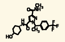 CNC(=O)c1cc(C(=O)N[C@H]2CC[C@H](O)CC2)n([C@H](C)c2ccc(C(F)(F)F)cc2)n1